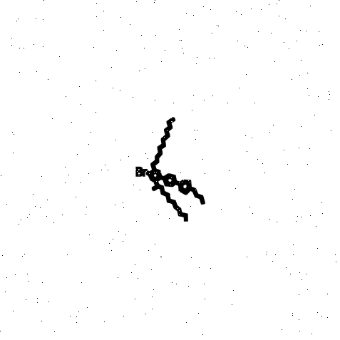 CCCCCCCCCCCCc1cc(-c2ccc(-c3ccc(CCCC)cc3)cc2)c(C(C)CCCCCCCCCC)cc1Br